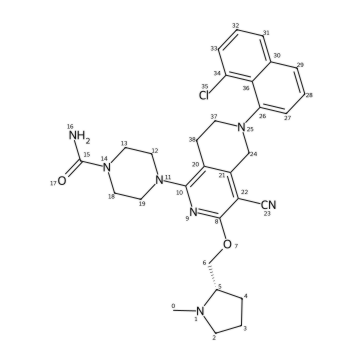 CN1CCC[C@H]1COc1nc(N2CCN(C(N)=O)CC2)c2c(c1C#N)CN(c1cccc3cccc(Cl)c13)CC2